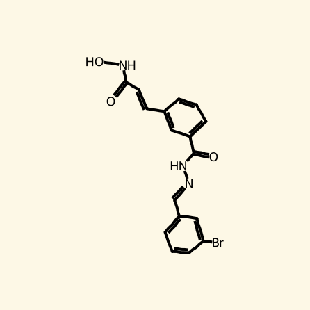 O=C(/C=C/c1cccc(C(=O)N/N=C/c2cccc(Br)c2)c1)NO